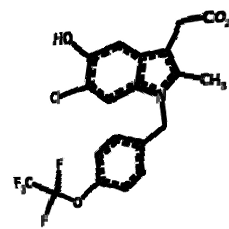 Cc1c(CC(=O)O)c2cc(O)c(Cl)cc2n1Cc1ccc(OC(F)(F)C(F)(F)F)cc1